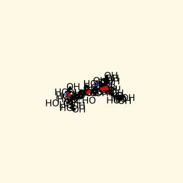 CCC(OC1OCC(O)C(OC2OCC(O)(CO)C2O)C1O)/C(O)=C(/O)C(O)OC1C(OC(=O)[C@]23CCC(C)(C)CC2C2=CCC4[C@@]5(C)CC[C@H](OC(CO)(OC(O)/C(O)=C(/O)C(O)CCO)C(OC(O)C(O)C(O)C(C)O)C(O)CC(=O)O)[C@@](C)(C=O)C5CC[C@@]4(C)[C@]2(C)C[C@H]3O)OC(C)C(O)C1OC(=O)C[C@@H](O)C[C@H](OC(=O)C[C@@H](O)C[C@H](OC1OC(CO)C(O)C1O)[C@@H](C)CC)[C@@H](C)CC